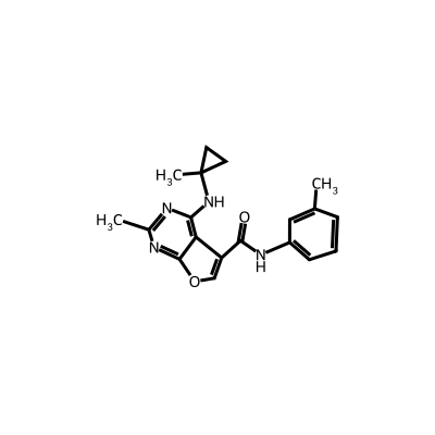 Cc1cccc(NC(=O)c2coc3nc(C)nc(NC4(C)CC4)c23)c1